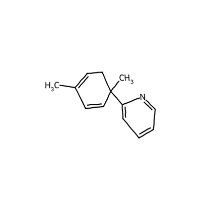 CC1=CCC(C)(c2ccccn2)C=C1